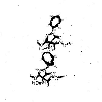 CON=C(C)C1(NO)C(=O)N(c2ccccc2)N=C1OC.CON=C(C)C1(NO)C(=O)N(c2ccccc2)N=C1OC